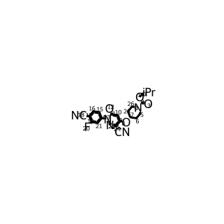 CC(C)OC(=O)N1CCC(Oc2cc(=O)n(-c3ccc(C#N)c(F)c3)nc2C#N)CC1